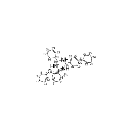 Fc1ccc2c(oc3ccccc32)c1C1NC(c2ccc(C3=CCCC=C3)cc2)NC(C2C=CC=CC2)N1